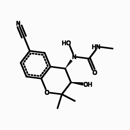 CNC(=O)N(O)[C@H]1c2cc(C#N)ccc2OC(C)(C)[C@@H]1O